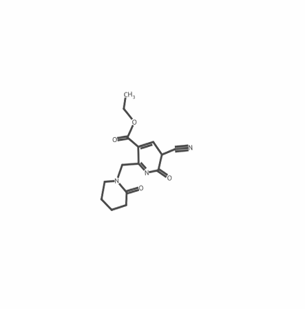 CCOC(=O)C1=CC(C#N)C(=O)N=C1CN1CCCCC1=O